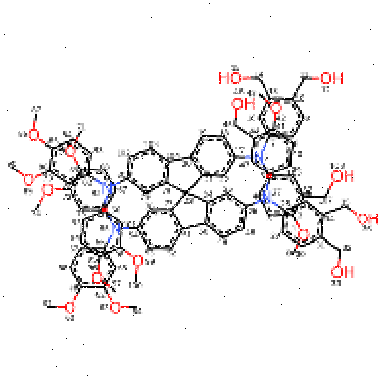 COc1ccc(N(c2ccc(CO)c(CO)c2)c2ccc3c(c2)C2(c4cc(N(c5ccc(CO)c(CO)c5)c5ccc(OC)c(CO)c5)ccc4-c4ccc(N(c5ccc(OC)c(OC)c5)c5ccc(OC)c(OC)c5)cc42)c2cc(N(c4ccc(OC)c(OC)c4)c4ccc(OC)c(OC)c4)ccc2-3)cc1CO